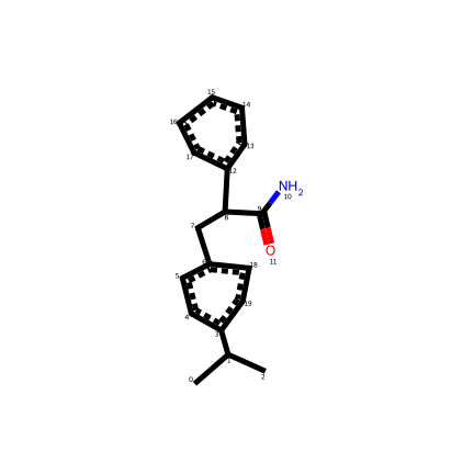 CC(C)c1ccc(CC(C(N)=O)c2ccccc2)cc1